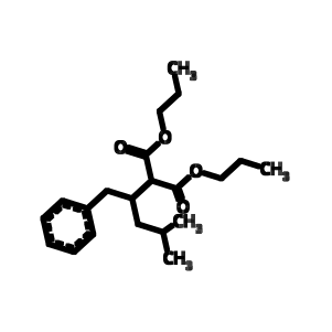 CCCOC(=O)C(C(=O)OCCC)C(Cc1ccccc1)CC(C)C